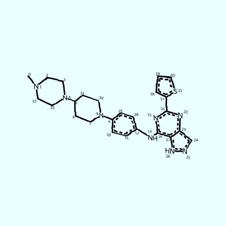 CN1CCN(C2CCN(c3ccc(Nc4nc(-c5cccs5)nc5cn[nH]c45)cc3)CC2)CC1